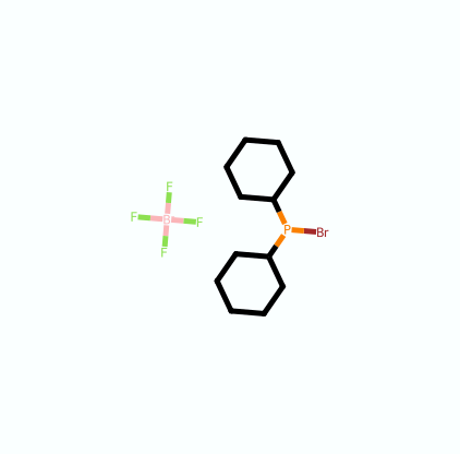 BrP(C1CCCCC1)C1CCCCC1.F[B-](F)(F)F